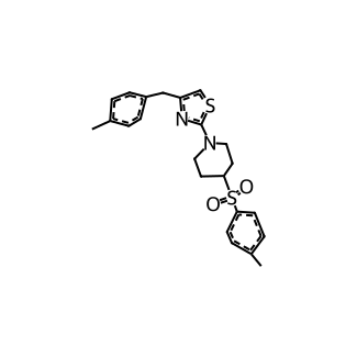 Cc1ccc(Cc2csc(N3CCC(S(=O)(=O)c4ccc(C)cc4)CC3)n2)cc1